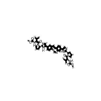 COC(=O)N[C@H](C(=O)N1CCC[C@H]1c1ncc(-c2ccc3c(c2)cc2c4ccc(-c5cnc([C@@H]6CCCN6C(=O)[C@@H](NC(=O)OC)C(C)C)[nH]5)cc4ncn32)[nH]1)C(C)C